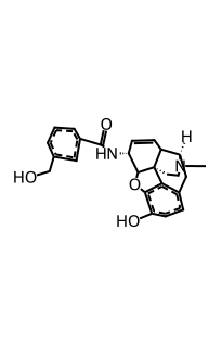 CN1CC[C@]23c4c5ccc(O)c4OC2[C@H](NC(=O)c2cccc(CO)c2)C=CC3[C@H]1C5